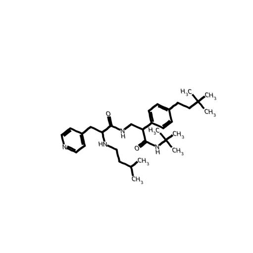 CC(C)CCNC(Cc1ccncc1)C(=O)NCC(C(=O)NC(C)(C)C)c1ccc(CCC(C)(C)C)cc1